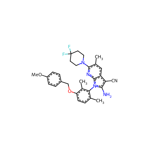 COc1ccc(COc2ccc(C)c(-n3c(N)c(C#N)c4cc(C)c(N5CCC(F)(F)CC5)nc43)c2C)cc1